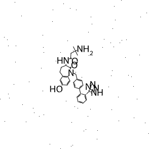 CC(C)(N)CC(=O)NC1CCc2cc(O)ccc2N(Cc2ccc(-c3ccccc3-c3nnn[nH]3)cc2)C1=O